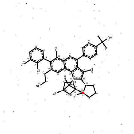 CC(C)(O)c1ccc(-c2nc3c(F)c(-c4cccc(Cl)c4Cl)c(CCC#N)cc3c3c2c(Cl)c([C@H]2CCCN2C(=O)O)n3[C@H]2[C@H]3CN[C@@H]2C3)cn1